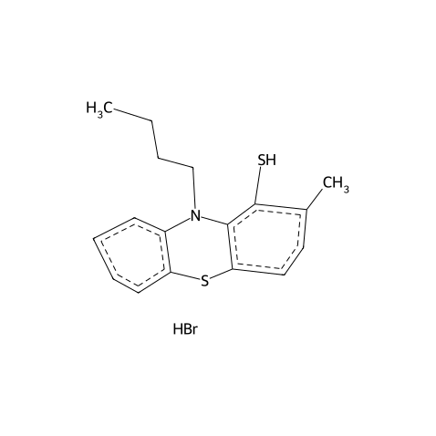 Br.CCCCN1c2ccccc2Sc2ccc(C)c(S)c21